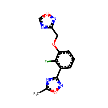 Fc1c(OCc2ncon2)[c]ccc1-c1noc(C(F)(F)F)n1